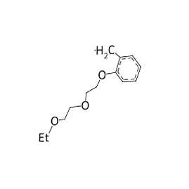 [CH2]c1ccccc1OCCOCCOCC